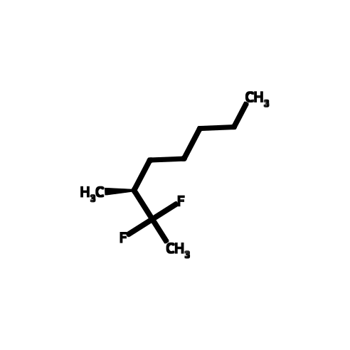 CCCCC[C@H](C)C(C)(F)F